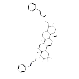 C=C[C@]12CC[C@H](O)[C@](C)(COC(=O)/C=C/c3ccccc3)C1CC[C@]1(C)C2CC=C2C3CC(C)(C)[C@@H](O)[C@H](OC/C=C/c4ccccc4)[C@]3(CO)[C@H](O)C[C@]21C